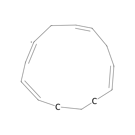 [C]1=CC=CCCCC=CCC=CC1